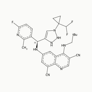 Cc1nc(F)ccc1[C@H](Nc1cc(C#N)c2ncc(C#N)c(NCC(C)(C)C)c2c1)C1=CN(C2(C(F)F)CC2)NN1